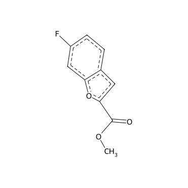 COC(=O)c1cc2ccc(F)cc2o1